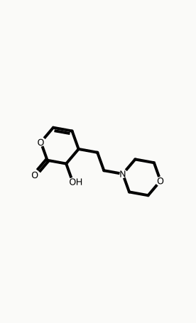 O=C1OC=CC(CCN2CCOCC2)C1O